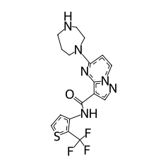 O=C(Nc1ccsc1C(F)(F)F)c1cnn2ccc(N3CCCNCC3)nc12